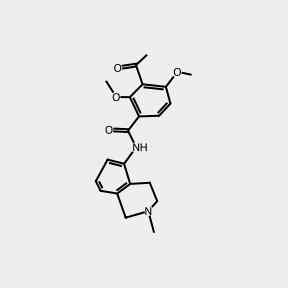 COc1ccc(C(=O)Nc2cccc3c2CCN(C)C3)c(OC)c1C(C)=O